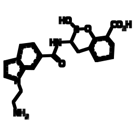 NCCn1ccc2ccc(C(=O)NC3Cc4cccc(C(=O)O)c4OB3O)cc21